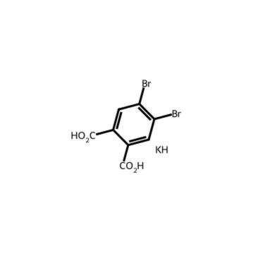 O=C(O)c1cc(Br)c(Br)cc1C(=O)O.[KH]